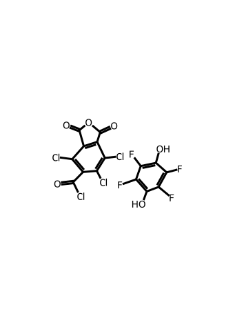 O=C(Cl)c1c(Cl)c(Cl)c2c(c1Cl)C(=O)OC2=O.Oc1c(F)c(F)c(O)c(F)c1F